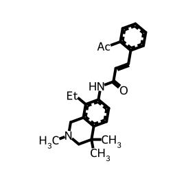 CCc1c(NC(=O)/C=C/c2ccccc2C(C)=O)ccc2c1CN(C)CC2(C)C